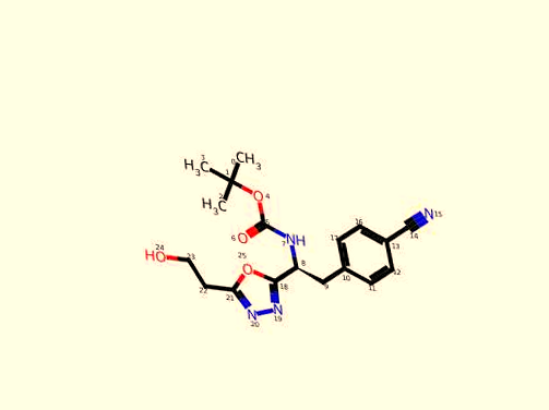 CC(C)(C)OC(=O)N[C@@H](Cc1ccc(C#N)cc1)c1nnc(CCO)o1